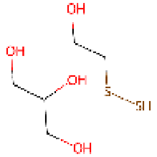 OCC(O)CO.OCCSS